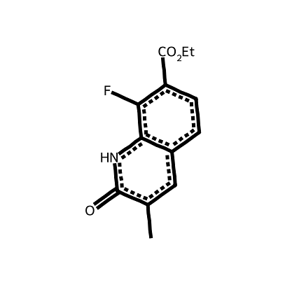 CCOC(=O)c1ccc2cc(C)c(=O)[nH]c2c1F